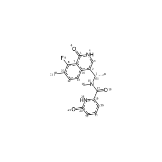 C[C@@H](c1c[nH]c(=O)c2c(F)c(F)ccc12)N(C)C(=O)c1cccc(=O)[nH]1